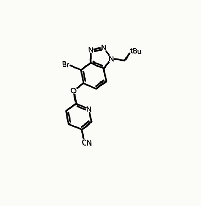 CC(C)(C)Cn1nnc2c(Br)c(Oc3ccc(C#N)cn3)ccc21